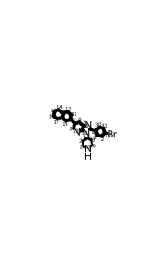 Brc1ccc(-c2nc3cc(-c4ccc5ccccc5c4)cnc3n2C2CCNCC2)cc1